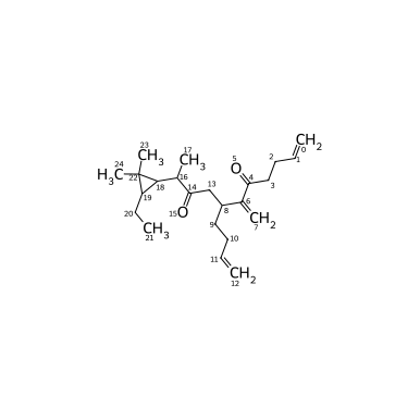 C=CCCC(=O)C(=C)C(CCC=C)CC(=O)C(C)C1C(CC)C1(C)C